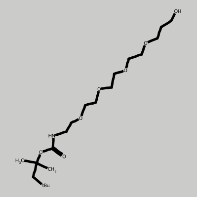 CC(C)(C)CC(C)(C)OC(=O)NCCOCCOCCOCCOCCCO